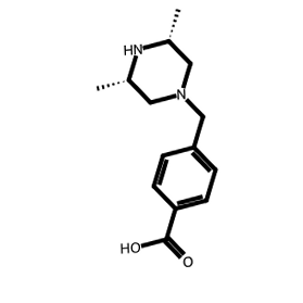 C[C@@H]1CN(Cc2ccc(C(=O)O)cc2)C[C@H](C)N1